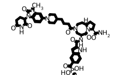 Cn1c(=O)n(C2CCC(=O)NC2=O)c2ccc(N3CCC(CCCC(=O)N4CC[C@H]5CC[C@@H](C(N)=O)N5C(=O)[C@@H](NC(=O)c5cc6cc(C(=O)P(=O)(O)O)ccc6[nH]5)C4)CC3)cc21